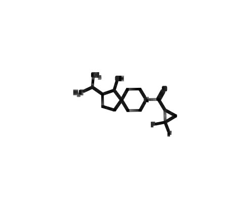 CC(C)C1CCC2(CCN(C(=O)C3CC3(F)F)CC2)C1O